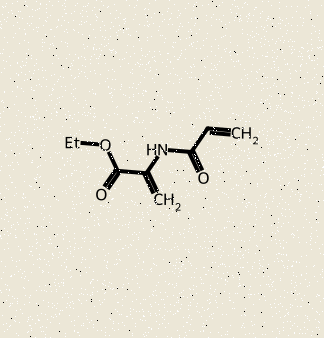 C=CC(=O)NC(=C)C(=O)OCC